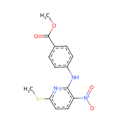 COC(=O)c1ccc(Nc2nc(SC)ccc2[N+](=O)[O-])cc1